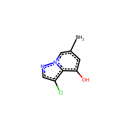 Bc1cc(O)c2c(Cl)cnn2c1